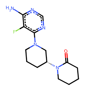 Nc1ncnc(N2CCC[C@@H](N3CCCCC3=O)C2)c1F